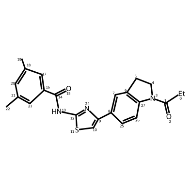 CCC(=O)N1CCc2cc(-c3csc(NC(=O)c4cc(C)cc(C)c4)n3)ccc21